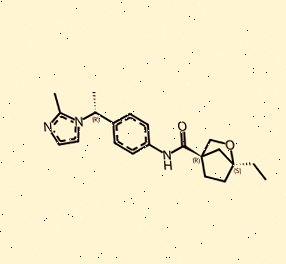 CC[C@@]12CC[C@](C(=O)Nc3ccc([C@@H](C)n4ccnc4C)cc3)(CO1)C2